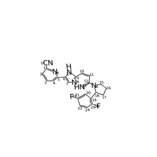 N#Cc1cccc(-c2cnc(/C=C\C(=N)N3CCCC3c3cc(F)ccc3F)[nH]2)n1